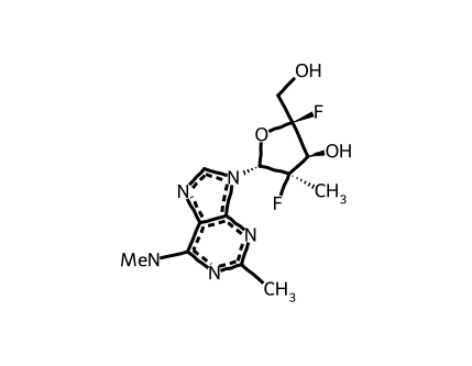 CNc1nc(C)nc2c1ncn2[C@@H]1O[C@](F)(CO)[C@@H](O)[C@@]1(C)F